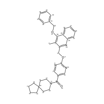 Cc1c(COc2ncc(C(=O)N3CCC4(CCCC4)CC3)cn2)nc2ccccc2c1OCc1ccccc1